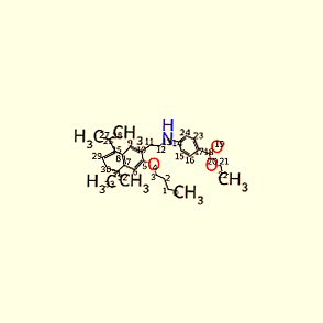 CCCCOc1cc2c(cc1CCNc1ccc(C(=O)OCC)cc1)C(C(C)C)=CCC2(C)C